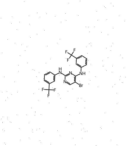 FC(F)(F)c1cccc(Nc2ncc(Br)c(Nc3cccc(C(F)(F)F)c3)n2)c1